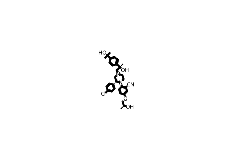 C[C@H](O)COc1ccc(N2CCN(C[C@@](C)(O)c3ccc(C(C)(C)O)cc3)C[C@H]2c2ccc(Cl)cc2)c(C#N)c1